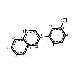 Clc1cc[c]c(-c2cnc3ccccc3c2)c1